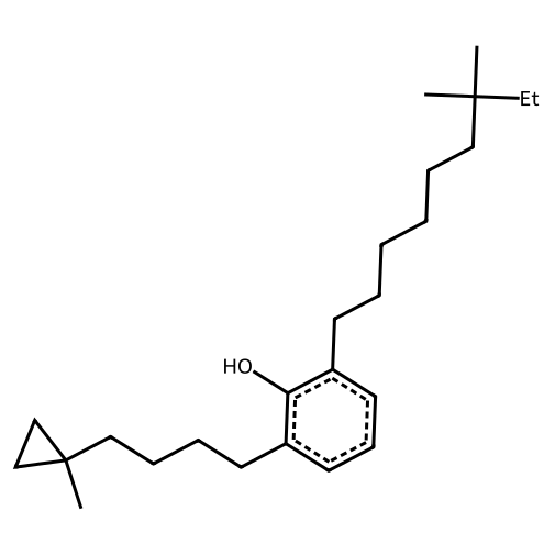 CCC(C)(C)CCCCCCc1cccc(CCCCC2(C)CC2)c1O